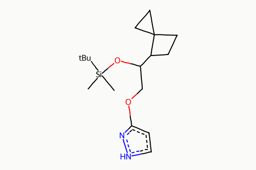 CC(C)(C)[Si](C)(C)OC(COc1cc[nH]n1)C1CCC12CC2